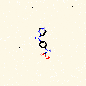 O=C(O)Nc1ccc(Nc2ccncn2)cc1